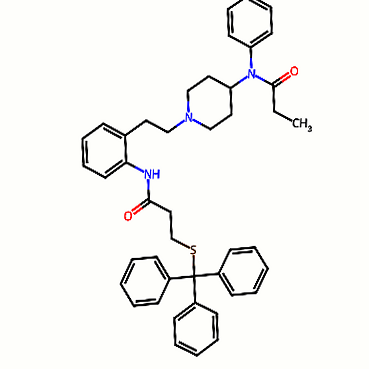 CCC(=O)N(c1ccccc1)C1CCN(CCc2ccccc2NC(=O)CCSC(c2ccccc2)(c2ccccc2)c2ccccc2)CC1